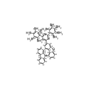 Bc1c(B)c(B)c(-c2nc(-c3ccc4c(c3)oc3cccc(-n5c6ccccc6c6ccccc65)c34)nc(-c3c(B)c(B)c(B)c(B)c3B)n2)c(B)c1B